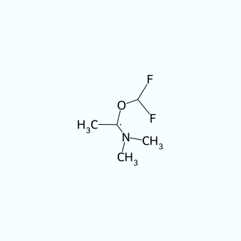 C[C](OC(F)F)N(C)C